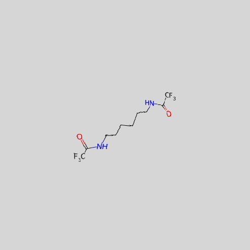 O=C(NCCCCCCNC(=O)C(F)(F)F)C(F)(F)F